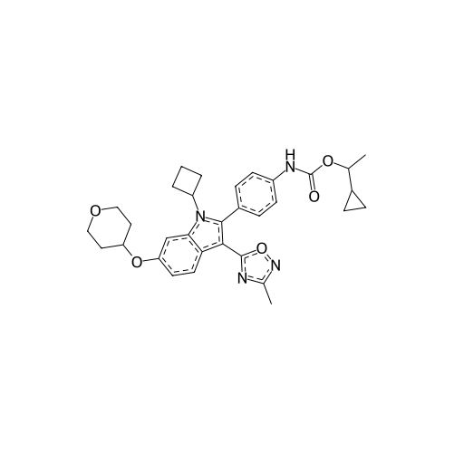 Cc1noc(-c2c(-c3ccc(NC(=O)OC(C)C4CC4)cc3)n(C3CCC3)c3cc(OC4CCOCC4)ccc23)n1